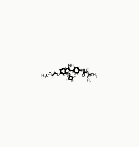 COCCOc1ccc2c(N)c(-c3ccc(NC(=O)NC(C)C)cc3)n(C3CCC3)c2c1